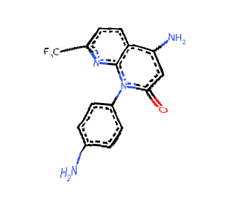 Nc1ccc(-n2c(=O)cc(N)c3ccc(C(F)(F)F)nc32)cc1